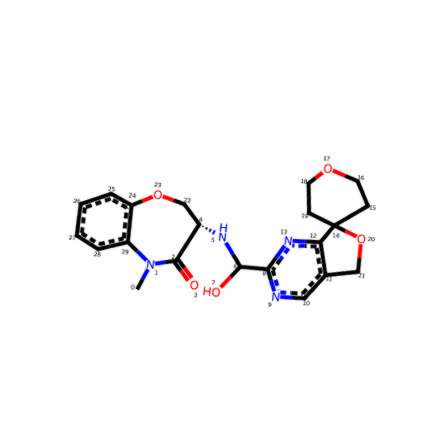 CN1C(=O)[C@@H](NC(O)c2ncc3c(n2)C2(CCOCC2)OC3)COc2ccccc21